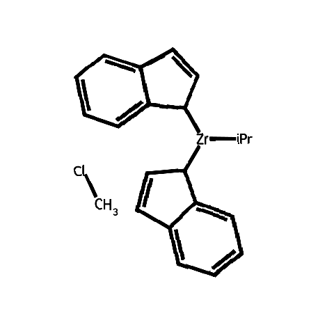 CCl.C[CH](C)[Zr]([CH]1C=Cc2ccccc21)[CH]1C=Cc2ccccc21